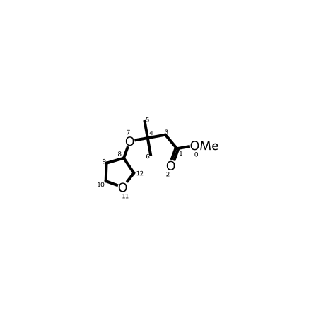 COC(=O)CC(C)(C)OC1CCOC1